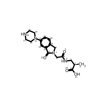 C[C@H](CNC(=O)CN1Cc2ccc(N3CCNCC3)cc2C1=O)C(=O)O